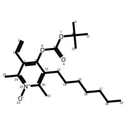 C=Cc1c(OC(=O)OC(C)(C)C)c(CCCCCCC)c(C)[n+]([O-])c1C